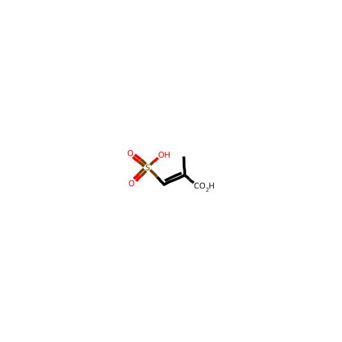 CC(=CS(=O)(=O)O)C(=O)O